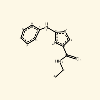 CCNC(=O)c1csc(Nc2ccccc2)n1